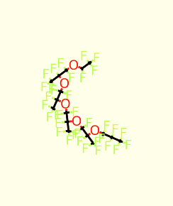 FC(OC(F)(F)C(F)(OC(F)(F)C(F)(OC(F)(F)C(F)(OC(F)(F)C(F)(OC(F)(F)C(F)(F)C(F)(F)F)C(F)(F)F)C(F)(F)F)C(F)(F)F)C(F)(F)F)C(F)(F)F